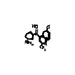 Cl.N[C@@H]1CCC[C@@H](Nc2cc(C(F)(F)F)nc3ccc(Cl)cc23)C1